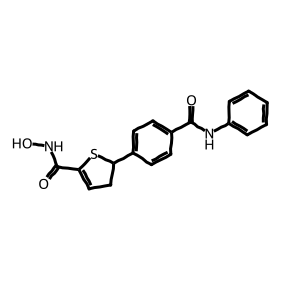 O=C(NO)C1=CCC(c2ccc(C(=O)Nc3ccccc3)cc2)S1